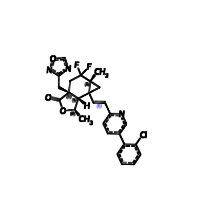 C[C@H]1OC(=O)[C@]2(Cc3ncon3)CC(F)(F)[C@]3(C)CC3(/C=C/c3ccc(-c4ccccc4Cl)cn3)[C@H]12